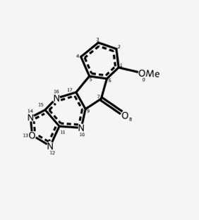 COc1cccc2c1C(=O)c1nc3nonc3nc1-2